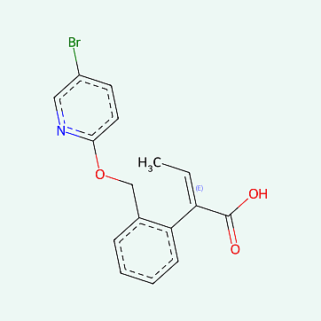 C/C=C(/C(=O)O)c1ccccc1COc1ccc(Br)cn1